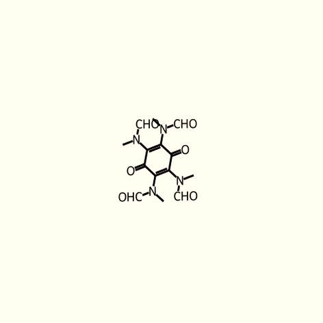 CN(C=O)C1=C(N(C)C=O)C(=O)C(N(C)C=O)=C(N(C)C=O)C1=O